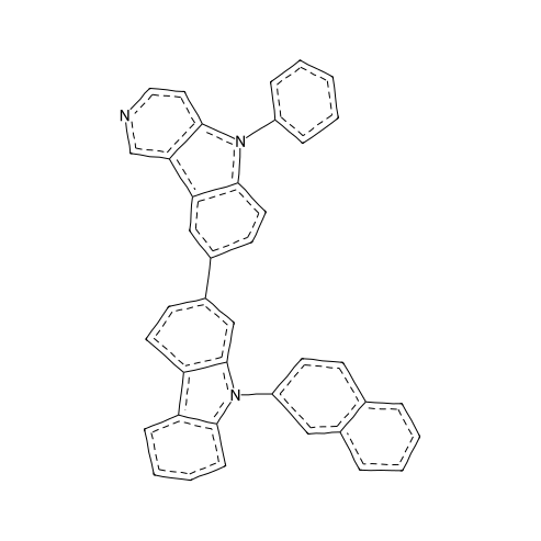 c1ccc(-n2c3ccncc3c3cc(-c4ccc5c6ccccc6n(-c6ccc7ccccc7c6)c5c4)ccc32)cc1